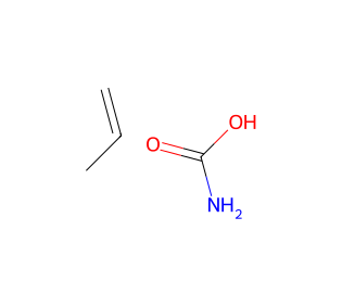 C=CC.NC(=O)O